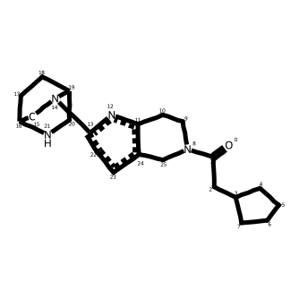 O=C(CC1CCCC1)N1CCc2nc(N3CC4CCC3CN4)ccc2C1